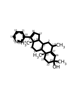 CC1CC2C(CC[C@]3(C)C(c4cccnc4)=CCC23)[C@@]2(C)CCC(C)(O)C=C12